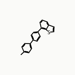 Cc1ccc(-c2ccc(-c3cccc4ccsc34)cc2)cc1